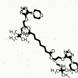 CC(C)(C)NC[C@@H](COc1nsnc1N1CCOCC1)OC(=O)CCCCCCC(=O)O[C@@H](CNC(C)(C)C)COc1nsnc1N1CCOCC1